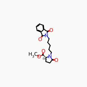 COC(=O)[C@@H]1CCC(=O)N1CCCCCN1C(=O)c2ccccc2C1=O